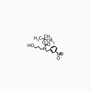 CC(C)(C)OC(=O)N(CCCO)Cc1cccc([N+](=O)[O-])c1